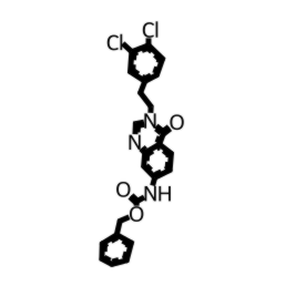 O=C(Nc1ccc2c(=O)n(CCc3ccc(Cl)c(Cl)c3)cnc2c1)OCc1ccccc1